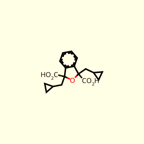 O=C(O)C1(CC2CC2)OC(CC2CC2)(C(=O)O)c2ccccc21